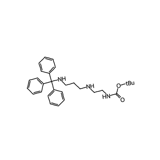 CC(C)(C)OC(=O)NCCNCCCNC(c1ccccc1)(c1ccccc1)c1ccccc1